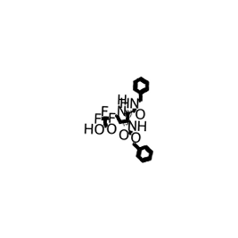 O=C(N[C@H]1CCN[C@H]1C(=O)NCc1ccccc1)OCc1ccccc1.O=C(O)C(F)(F)F